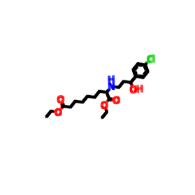 CCOC(=O)CCCCCCC(NCCC(O)c1ccc(Cl)cc1)C(=O)OCC